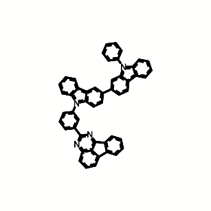 c1ccc(-n2c3ccccc3c3ccc(-c4ccc5c(c4)c4ccccc4n5-c4cccc(-c5nc6c7c(cccc7n5)-c5ccccc5-6)c4)cc32)cc1